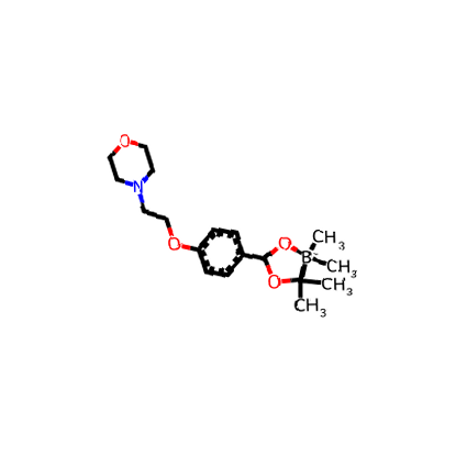 C[B-]1(C)OC(c2ccc(OCCN3CCOCC3)cc2)OC1(C)C